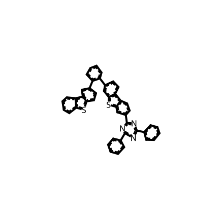 c1ccc(-c2nc(-c3ccccc3)nc(-c3ccc4c(c3)sc3cc(-c5ccccc5-c5ccc6sc7ccccc7c6c5)ccc34)n2)cc1